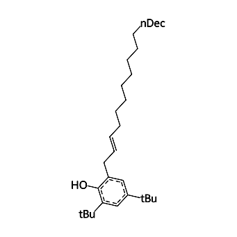 CCCCCCCCCCCCCCCCCCC=CCc1cc(C(C)(C)C)cc(C(C)(C)C)c1O